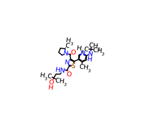 Cc1cc(NC(C)(C)C)ncc1-c1sc(C(=O)NCCC(C)(C)O)nc1C(=O)N1CCC[C@@H]1C